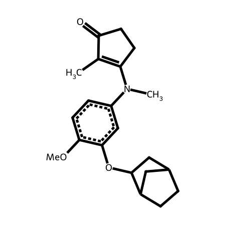 COc1ccc(N(C)C2=C(C)C(=O)CC2)cc1OC1CC2CCC1C2